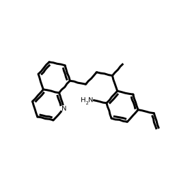 C=Cc1ccc(N)c(C(C)CCc2cccc3cccnc23)c1